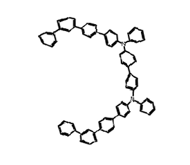 c1ccc(-c2cccc(-c3ccc(-c4ccc(N(c5ccccc5)c5ccc(-c6ccc(N(c7ccccc7)c7ccc(-c8ccc(-c9cccc(-c%10ccccc%10)c9)cc8)cc7)cc6)cc5)cc4)cc3)c2)cc1